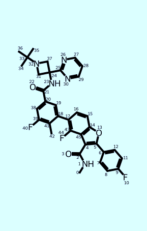 CNC(=O)c1c(-c2ccc(F)cc2)oc2ccc(-c3cc(C(=O)NC4(c5ncccn5)CN(C(C)(C)C)C4)cc(F)c3C)c(F)c12